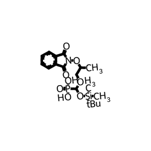 CC(COC(O[Si](C)(C)C(C)(C)C)P(=O)(O)O)ON1C(=O)c2ccccc2C1=O